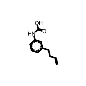 C=CCCc1cccc(NC(=O)O)c1